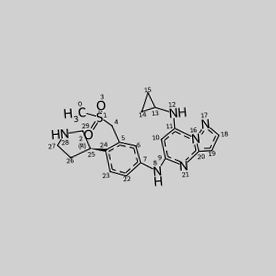 CS(=O)(=O)Cc1cc(Nc2cc(NC3CC3)n3nccc3n2)ccc1[C@H]1CCNC1